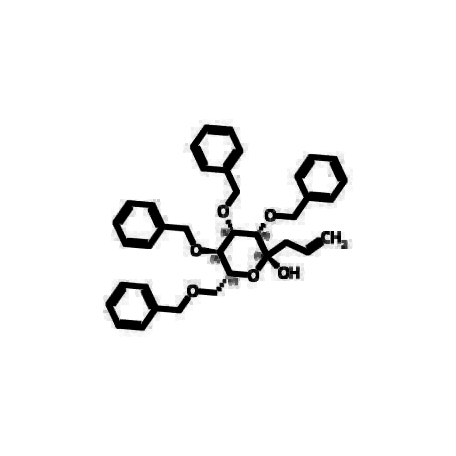 C=CC[C@]1(O)O[C@H](COCc2ccccc2)[C@@H](OCc2ccccc2)[C@H](OCc2ccccc2)[C@@H]1OCc1ccccc1